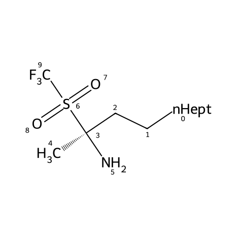 CCCCCCCCC[C@@](C)(N)S(=O)(=O)C(F)(F)F